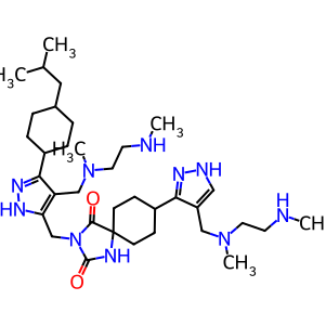 CNCCN(C)Cc1c[nH]nc1C1CCC2(CC1)NC(=O)N(Cc1[nH]nc(C3CCC(CC(C)C)CC3)c1CN(C)CCNC)C2=O